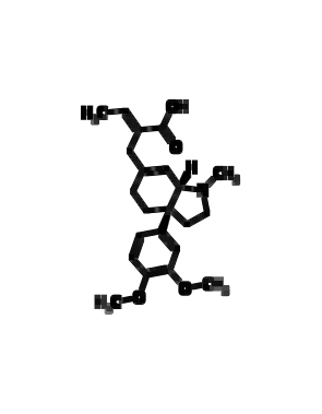 C/C=C(\CC1=C[C@@H]2N(C)CC[C@]2(c2ccc(OC)c(OC)c2)CC1)C(=O)O